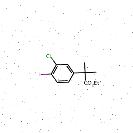 CCOC(=O)C(C)(C)c1ccc(I)c(Cl)c1